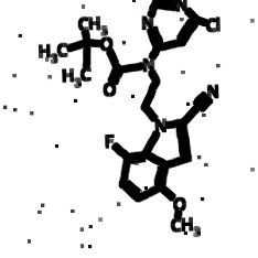 COc1ccc(F)c2c1cc(C#N)n2CCN(C(=O)OC(C)(C)C)c1cc(Cl)ncn1